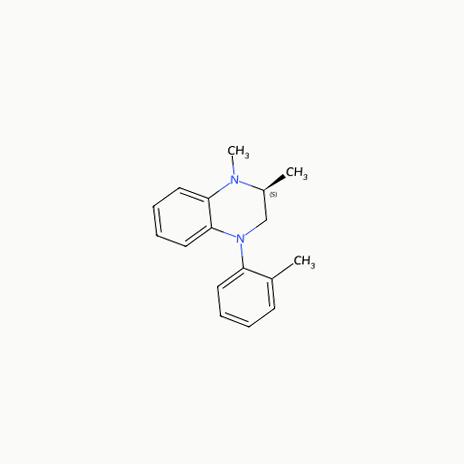 Cc1ccccc1N1C[C@H](C)N(C)c2ccccc21